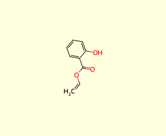 C=COC(=O)c1ccccc1O